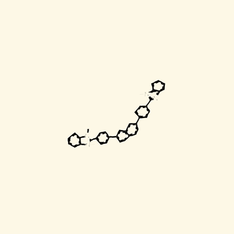 CN1c2ccccc2NC1c1ccc(-c2ccc3ccc(-c4ccc(-c5nc6ccccc6[nH]5)cc4)cc3c2)cc1